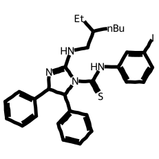 CCCCC(CC)CNC1=NC(c2ccccc2)C(c2ccccc2)N1C(=S)Nc1cccc(I)c1